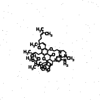 COC(=O)/C(C)=C\CC1(O)C(=O)C2CC(C(C)C)C13Oc1c(CC=C(C)C)c4c(c(OCCN5CCN(C)CC5)c1C(=O)C3C2n1cnc(N)c1)C=CC(C)(CCC=C(C)C)O4